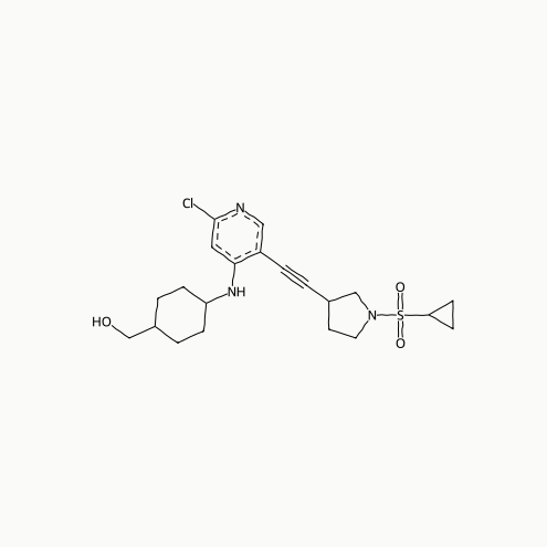 O=S(=O)(C1CC1)N1CCC(C#Cc2cnc(Cl)cc2NC2CCC(CO)CC2)C1